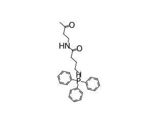 CC(=O)CCNC(=O)CCCC[PH](c1ccccc1)(c1ccccc1)c1ccccc1